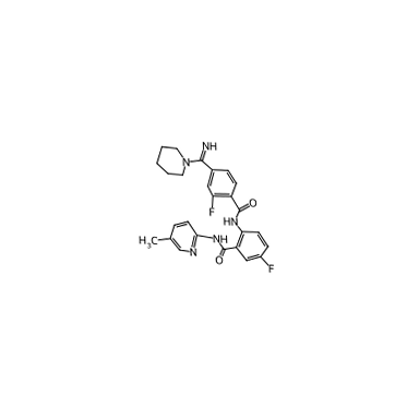 Cc1ccc(NC(=O)c2cc(F)ccc2NC(=O)c2ccc(C(=N)N3CCCCC3)cc2F)nc1